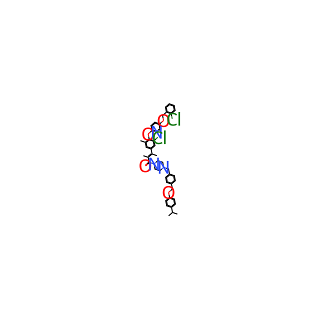 CC(C(=O)N1CCN(Cc2ccc(COc3ccc(C(C)C)cc3)cc2)CC1)=C(C)c1cc(C)c(Oc2ccc(OCc3ccccc3Cl)cn2)c(Cl)c1